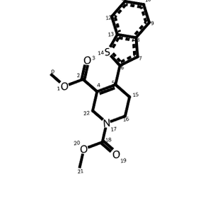 COC(=O)C1=C(c2cc3ccccc3s2)CCN(C(=O)OC)C1